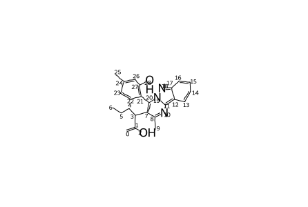 C=C(O)C(CCC)c1c(C)nc2c3ccccc3nn2c1-c1ccc(C)cc1O